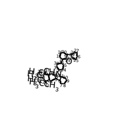 CC1(C)c2cc3c4ccccc4n(-c4ccc(-c5cccc6c5oc5ccccc56)cc4)c3cc2C(C)(C)C1(C)C